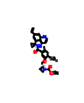 C=Cc1cc(C2(NC(=O)c3cc(OC[C@@H]4CCN4C(=O)OC(C)(C)C)c([N+](=O)[O-])cc3C)CC2)c2cccnc2c1